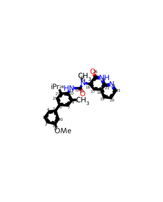 COc1cccc(-c2cc(C)c(NC(=O)N(C)c3cc4cccnc4[nH]c3=O)c(C(C)C)c2)c1